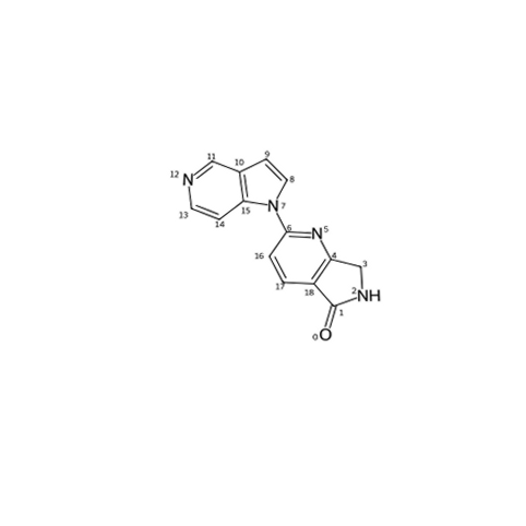 O=C1NCc2nc(-n3ccc4cnccc43)ccc21